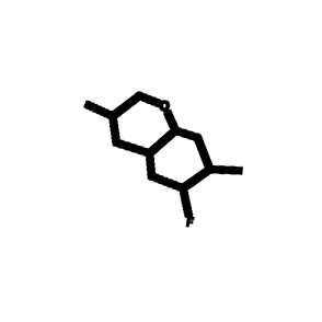 CC1COC2CC(C)C(F)CC2C1